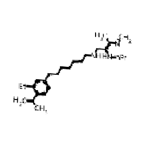 C=N/C(C)=C(/CNCCCCCCCc1ccc(C(=C)C)c(CC)c1)NCCC